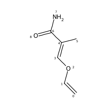 C=CO/C=C(\C)C(N)=O